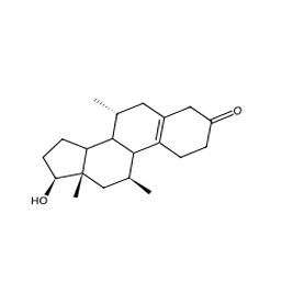 C[C@@H]1CC2=C(CCC(=O)C2)C2C1C1CC[C@H](O)[C@@]1(C)C[C@@H]2C